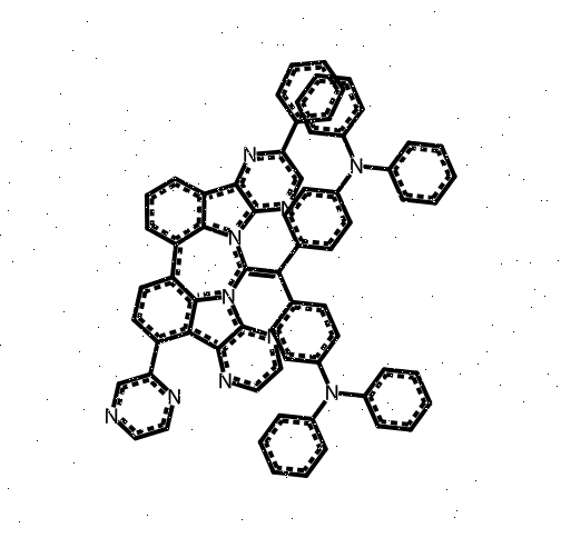 c1ccc(-c2cnc3c(n2)c2cccc4c5ccc(-c6cnccn6)c6c7nccnc7n(c(=C(c7ccc(N(c8ccccc8)c8ccccc8)cc7)c7ccc(N(c8ccccc8)c8ccccc8)cc7)n3c42)c56)cc1